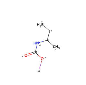 BCC(C)NC(=O)OI